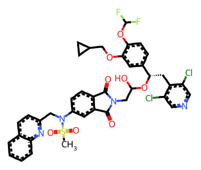 CS(=O)(=O)N(Cc1ccc2ccccc2n1)c1ccc2c(c1)C(=O)N(CC(O)O[C@@H](Cc1c(Cl)cncc1Cl)c1ccc(OC(F)F)c(OCC3CC3)c1)C2=O